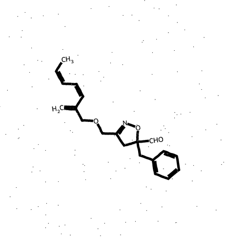 C=C(/C=C\C=C/C)COCC1=NOC(C=O)(Cc2ccccc2)C1